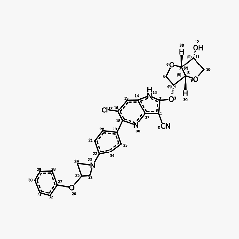 N#Cc1c(O[C@@H]2CO[C@H]3[C@@H]2OC[C@H]3O)[nH]c2cc(Cl)c(-c3ccc(N4CC(Oc5ccccc5)C4)cc3)nc12